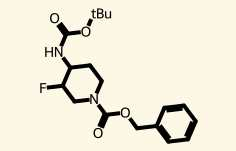 CC(C)(C)OC(=O)NC1CCN(C(=O)OCc2ccccc2)CC1F